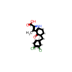 Cc1c(C(=O)O)[nH]c2c1C(=O)C(Cc1ccc(Cl)c(Cl)c1)CC2